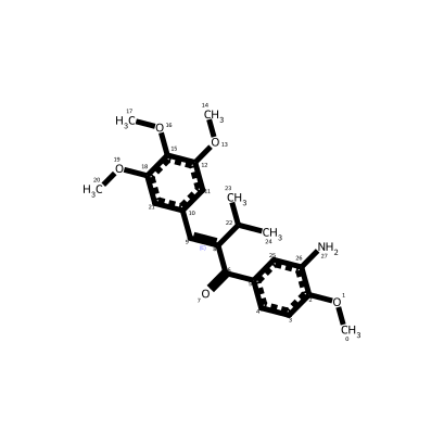 COc1ccc(C(=O)/C(=C/c2cc(OC)c(OC)c(OC)c2)C(C)C)cc1N